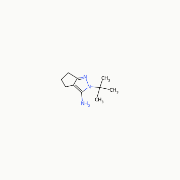 CC(C)(C)n1nc2c(c1N)CCC2